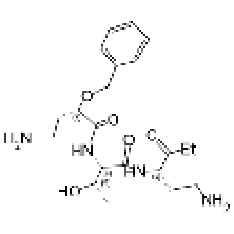 CCC(=O)[C@H](CCN)NC(=O)[C@@H](NC(=O)[C@H](CCN)OCc1ccccc1)[C@H](C)O